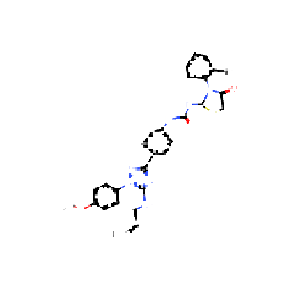 C=CCNc1nc(-c2ccc(NC(=O)NC3SCC(=O)N3c3ccccc3C(C)C)cc2)nn1-c1ccc(OC(F)(F)F)cc1